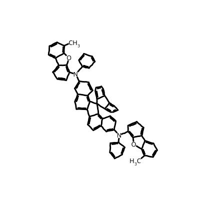 Cc1cccc2c1oc1c(N(c3ccccc3)c3ccc4c5c(ccc4c3)-c3ccc4cc(N(c6ccccc6)c6cccc7c6oc6c(C)cccc67)ccc4c3C53c4ccccc4-c4ccccc43)cccc12